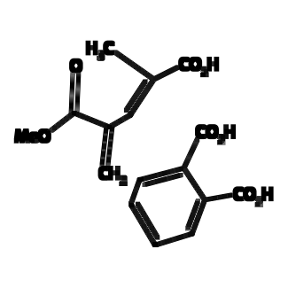 C=C(C=C(C)C(=O)O)C(=O)OC.O=C(O)c1ccccc1C(=O)O